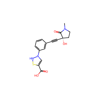 CN1CC[C@@](O)(C#Cc2cccc(N3C=C(C(=O)O)SN3)c2)C1=O